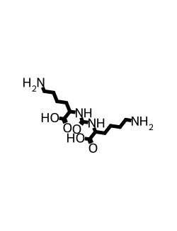 NCCCCC(NC(=O)NC(CCCCN)C(=O)O)C(=O)O